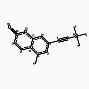 Cc1cc(C#C[Si](C)(C)C)cc2oc(=O)ccc12